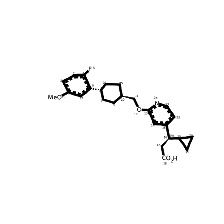 COc1ccc(F)c([C@H]2CC[C@H](COc3cc([C@H](CC(=O)O)C4CC4)ccn3)CC2)c1